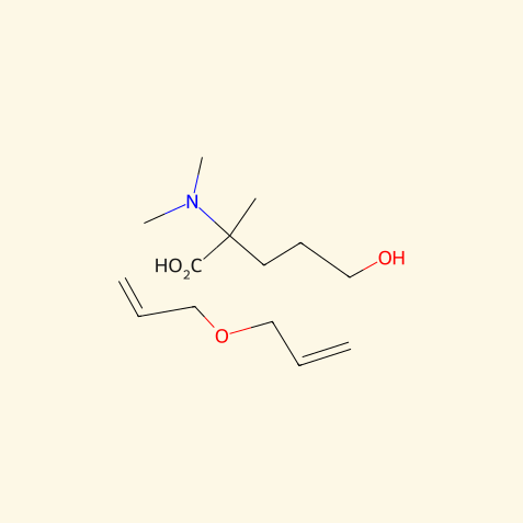 C=CCOCC=C.CN(C)C(C)(CCCO)C(=O)O